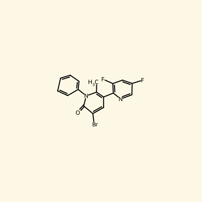 Cc1c(-c2ncc(F)cc2F)cc(Br)c(=O)n1-c1ccccc1